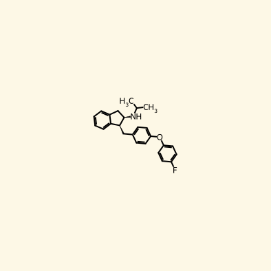 CC(C)N[C@@H]1Cc2ccccc2[C@@H]1Cc1ccc(Oc2ccc(F)cc2)cc1